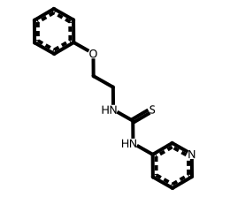 S=C(NCCOc1ccccc1)Nc1cccnc1